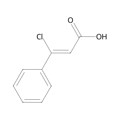 O=C(O)C=C(Cl)c1ccccc1